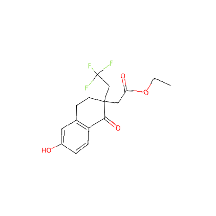 CCOC(=O)CC1(CC(F)(F)F)CCc2cc(O)ccc2C1=O